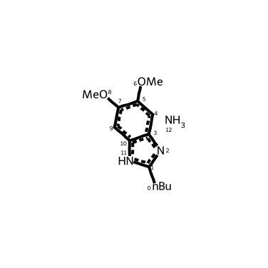 CCCCc1nc2cc(OC)c(OC)cc2[nH]1.N